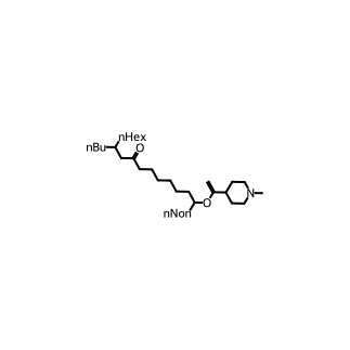 C=C(OC(CCCCCCCCC)CCCCCCC(=O)CC(CCCC)CCCCCC)C1CCN(C)CC1